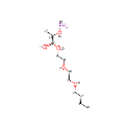 CCCCOCCOCCOC(=O)C(C)OP